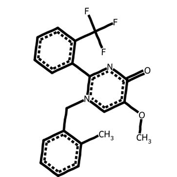 COc1cn(Cc2ccccc2C)c(-c2ccccc2C(F)(F)F)nc1=O